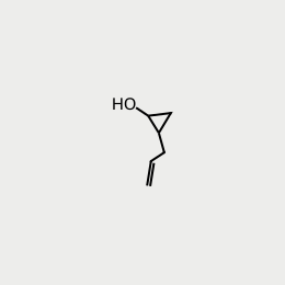 C=CCC1CC1O